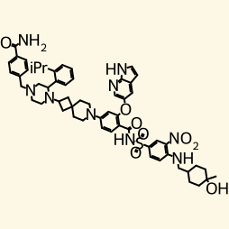 CC(C)c1ccccc1C1CN(Cc2ccc(C(N)=O)cc2)CCN1C1CC2(CCN(c3ccc(C(=O)NS(=O)(=O)c4ccc(NCC5CCC(C)(O)CC5)c([N+](=O)[O-])c4)c(Oc4cnc5[nH]ccc5c4)c3)CC2)C1